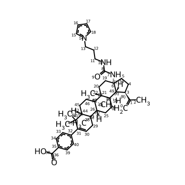 C=C(C)[C@@H]1CC[C@]2(NC(=O)NCCCn3cccc3)CC[C@]3(C)[C@H](CC[C@@H]4[C@@]5(C)CC=C(c6ccc(C(=O)O)cc6)C(C)(C)[C@@H]5CC[C@]43C)[C@@H]12